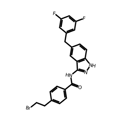 O=C(Nc1n[nH]c2ccc(Cc3cc(F)cc(F)c3)cc12)c1ccc(CCBr)cc1